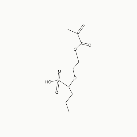 C=C(C)C(=O)OCCOC(CCC)S(=O)(=O)O